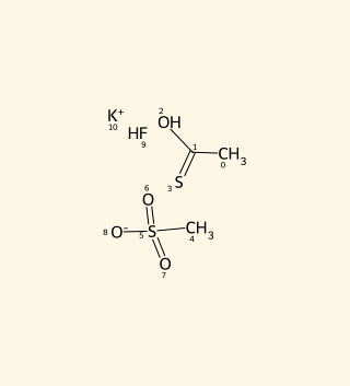 CC(O)=S.CS(=O)(=O)[O-].F.[K+]